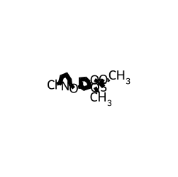 CCOP(=S)(OCC)Oc1ccc(Oc2cccc(Cl)n2)cc1